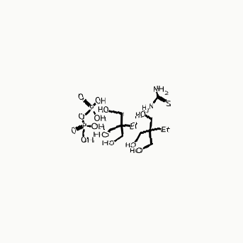 CCC(CO)(CO)CO.CCC(CO)(CO)CO.NC(N)=S.O=P(O)(O)OP(=O)(O)O